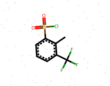 Cc1c(C(F)(F)F)cccc1S(=O)(=O)Cl